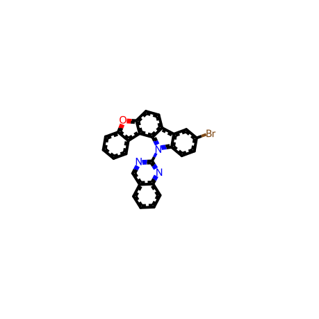 Brc1ccc2c(c1)c1ccc3oc4ccccc4c3c1n2-c1ncc2ccccc2n1